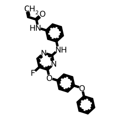 C=CC(=O)Nc1cccc(Nc2ncc(F)c(Oc3ccc(Oc4ccccc4)cc3)n2)c1